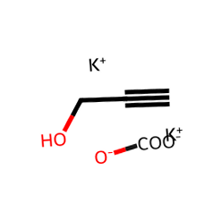 C#CCO.O=C([O-])[O-].[K+].[K+]